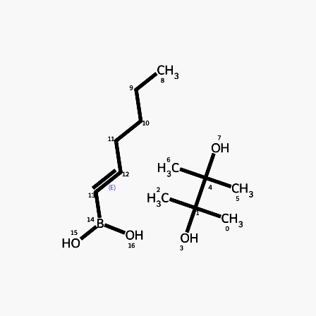 CC(C)(O)C(C)(C)O.CCCC/C=C/B(O)O